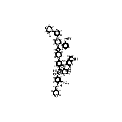 CC(C)Oc1ccccc1[C@H]1CN(c2ccnc(N3CCOC[C@H]3C)c2)CCN1C1CC2(CCN(c3ccc(C(=O)NS(=O)(=O)c4ccc(NCC5CCOCC5)c([N+](=O)[O-])c4)c(N4c5cc6cc[nH]c6nc5O[C@H]5COCC[C@@H]54)c3)CC2)C1